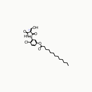 CCCCCCCCCCCCC(=O)Oc1ccc(Cl)c(N2NC(=O)/C(=C/O)C2=O)c1